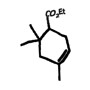 CCOC(=O)C1CC=C(C)CC1(C)C